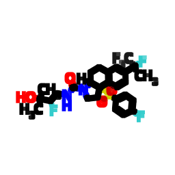 CC(C)(O)[C@H](F)CNC(=O)N1CC[C@@]2(S(=O)(=O)c3ccc(F)cc3)c3ccc(C(C)(F)C(F)(F)F)cc3CC[C@@H]12